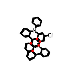 Clc1cc(N(c2ccccc2)c2ccccc2-c2ccccc2)cc(N(c2ccccc2)c2ccccc2-c2ccccc2)c1